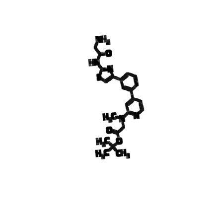 CN(CC(=O)OC(C)(C)C)c1cc(-c2cccc(-c3csc(NC(=O)CN)n3)c2)ccn1